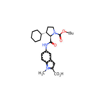 Cn1c(C(=O)O)cc2cc(NC(=O)[C@H]3[C@H](C4CCCCC4)CCN3C(=O)OC(C)(C)C)ccc21